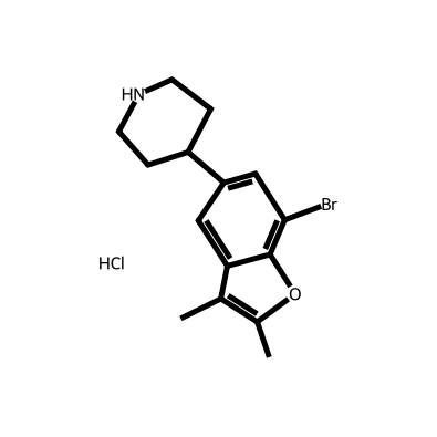 Cc1oc2c(Br)cc(C3CCNCC3)cc2c1C.Cl